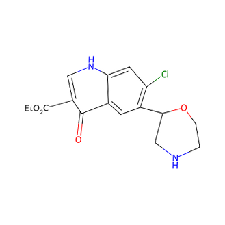 CCOC(=O)c1c[nH]c2cc(Cl)c(C3CNCCO3)cc2c1=O